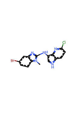 Cn1c(Nc2c[nH]c3ccc(Cl)nc23)nc2cc(Br)ccc21